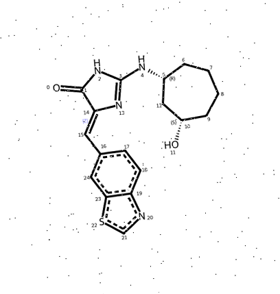 O=C1NC(N[C@@H]2CCCC[C@H](O)C2)=N/C1=C\c1ccc2ncsc2c1